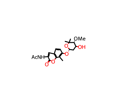 CO[C@@H]1C(O)C[C@H](Oc2ccc3cc(NC(C)=O)c(=O)oc3c2C)OC1(C)C